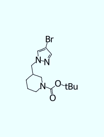 CC(C)(C)OC(=O)N1CCCC(Cn2cc(Br)cn2)C1